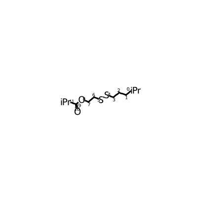 CC(C)CCCSSCCOC(=O)C(C)C